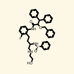 O=C(Nc1cccc(F)c1CCC(CNCCO)N[S+]([O-])c1ccccc1)C(OCc1ccccc1)C(c1ccccc1)c1ccccc1